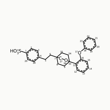 O=S(=O)(O)c1ccc(CCC23CCC(c4ccccc4Oc4ccccc4)(CC2)OC3)cc1